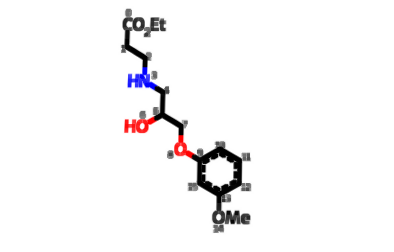 CCOC(=O)CCNCC(O)COc1cccc(OC)c1